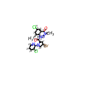 Cc1cc(Cl)cc(C(=O)N(C)C)c1NC(=O)c1cc(Br)cn1-c1ncccc1Cl